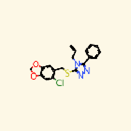 C=CCn1c(SCc2cc3c(cc2Cl)OCO3)nnc1-c1ccccc1